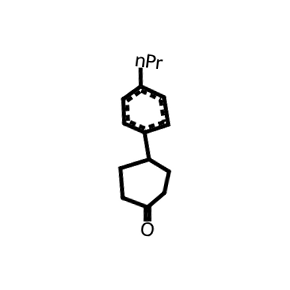 CCCc1ccc(C2CCC(=O)CC2)cc1